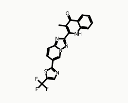 Cc1c(-c2nc3ccc(-c4ncc(C(F)(F)F)s4)cn3n2)[nH]c2ccccc2c1=O